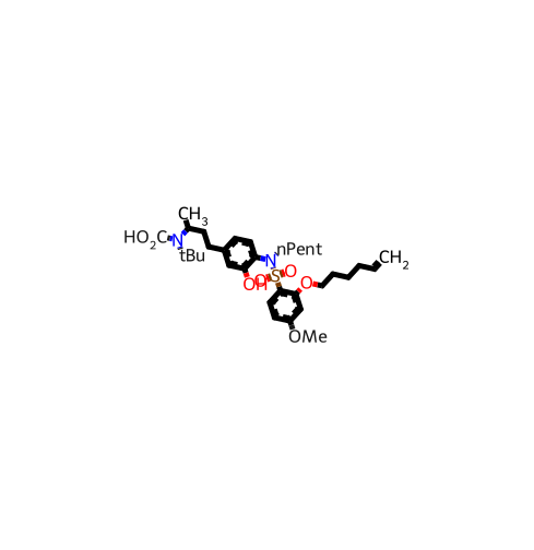 C=CCCCCOc1cc(OC)ccc1S(=O)(=O)N(CCCCC)c1ccc(CCC(C)N(C(=O)O)C(C)(C)C)cc1O